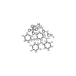 CCOCC.O=S(=O)(O)Oc1ccc(Cc2ccccc2)c(Cc2ccccc2)c1Cc1ccccc1